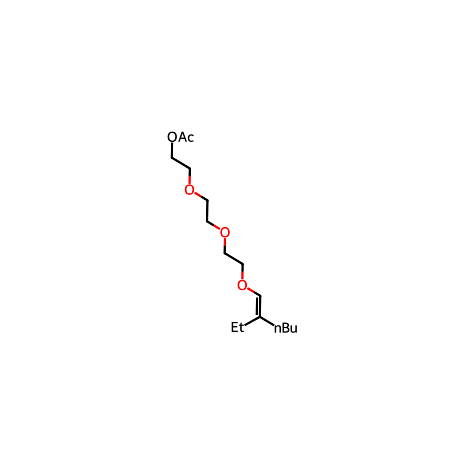 CCCC/C(=C/OCCOCCOCCOC(C)=O)CC